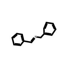 C(=NCc1ccccc1)c1ccccc1